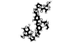 CCc1ncc(C2Oc3cc(-c4cnc([C@@H]5CCCN5C(=O)[C@@H](NC(=O)OC)C(C)C)[nH]4)cc(F)c3-c3cc4cc(-c5cnc([C@@H]6CCCN6C(=O)C(NC(=O)OC)C6C[C@@H](C)O[C@@H](C)C6)[nH]5)ccc4n32)s1